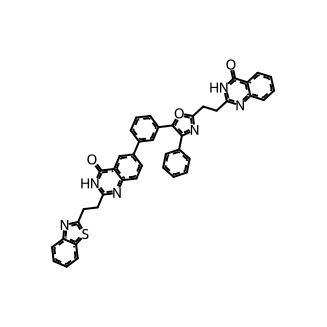 O=c1[nH]c(CCc2nc(-c3ccccc3)c(-c3cccc(-c4ccc5nc(CCc6nc7ccccc7s6)[nH]c(=O)c5c4)c3)o2)nc2ccccc12